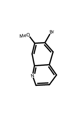 COc1cc2ncccc2cc1Br